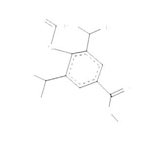 COC(=O)c1cc(C(C)C)c(NC=O)c(C(C)C)c1